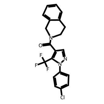 O=C(c1cnn(-c2ccc(Cl)cc2)c1C(F)(F)F)N1CCc2ccccc2C1